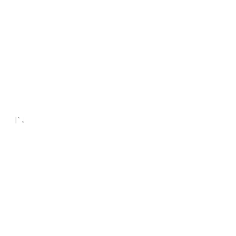 C1=CC=CNC=C1.c1ccc(-c2ccccc2)cc1